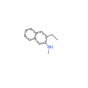 CCc1cc2ccccc2cc1NC